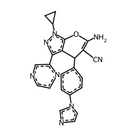 N#CC1=C(N)Oc2c(c(-c3cnccn3)nn2C2CC2)C1c1ccc(-n2ccnc2)cc1